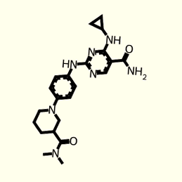 CN(C)C(=O)C1CCCN(c2ccc(Nc3ncc(C(N)=O)c(NC4CC4)n3)cc2)C1